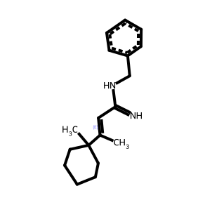 C/C(=C\C(=N)NCc1ccccc1)C1(C)CCCCC1